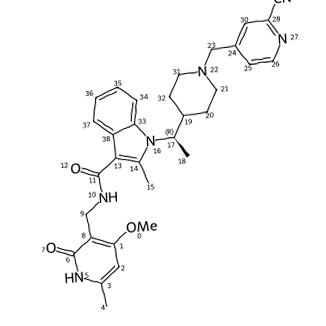 COc1cc(C)[nH]c(=O)c1CNC(=O)c1c(C)n([C@H](C)C2CCN(Cc3ccnc(C#N)c3)CC2)c2ccccc12